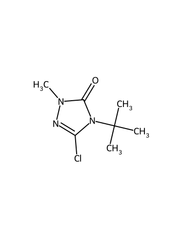 Cn1nc(Cl)n(C(C)(C)C)c1=O